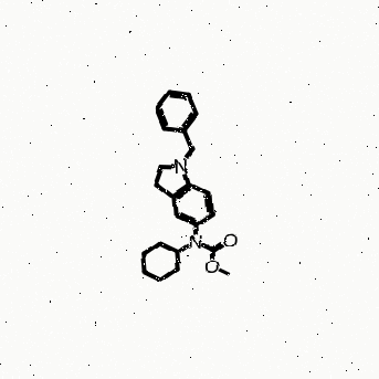 COC(=O)N(c1ccc2c(c1)CCN2Cc1ccccc1)C1CCCCC1